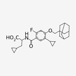 O=C(NC(CC1CC1)C(=O)O)c1cc(C2CC2)c(OCC23CC4CC(CC(C4)C2)C3)cc1F